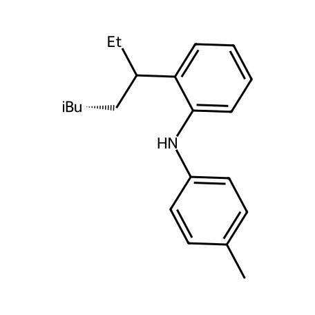 CCC(C[C@@H](C)CC)c1ccccc1Nc1ccc(C)cc1